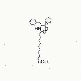 CCCCCCCCC=CCCCCCCCC(=O)N[C@@H](Cc1ccccc1)C(=O)N1CCCC1